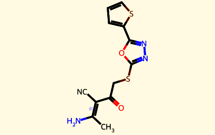 C/C(N)=C(/C#N)C(=O)CSc1nnc(-c2cccs2)o1